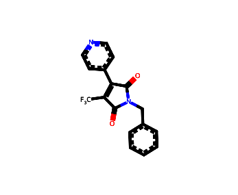 O=C1C(c2ccncc2)=C(C(F)(F)F)C(=O)N1Cc1ccccc1